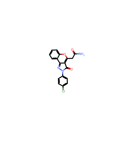 NC(=O)Cc1oc2ccccc2c2nn(-c3ccc(Cl)cc3)c(=O)c1-2